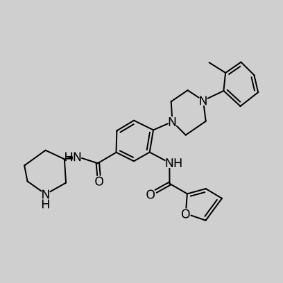 Cc1ccccc1N1CCN(c2ccc(C(=O)N[C@@H]3CCCNC3)cc2NC(=O)c2ccco2)CC1